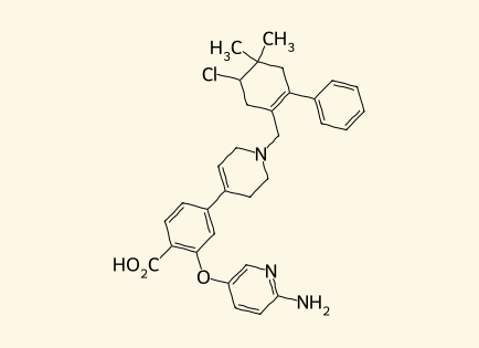 CC1(C)CC(c2ccccc2)=C(CN2CC=C(c3ccc(C(=O)O)c(Oc4ccc(N)nc4)c3)CC2)CC1Cl